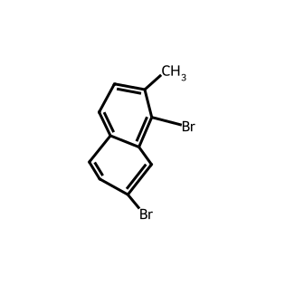 Cc1ccc2ccc(Br)cc2c1Br